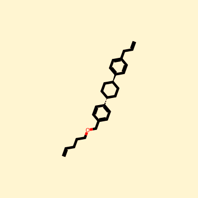 C=CCCCOCc1ccc([C@H]2CC[C@H](c3ccc(CC=C)cc3)CC2)cc1